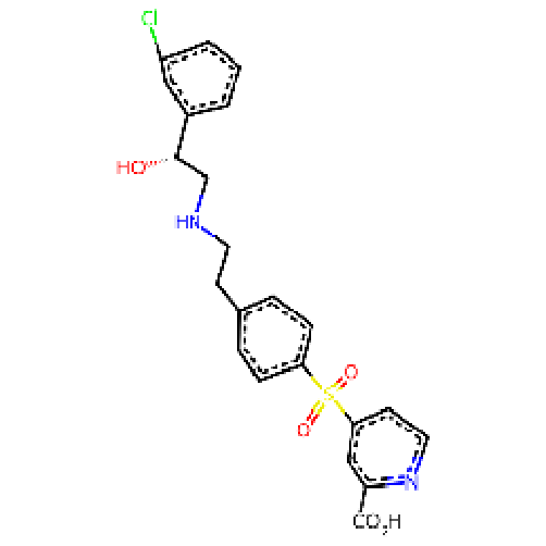 O=C(O)c1cc(S(=O)(=O)c2ccc(CCNC[C@H](O)c3cccc(Cl)c3)cc2)ccn1